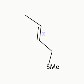 C/[C]=C/CSC